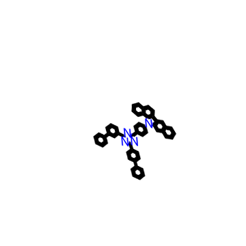 c1ccc(-c2ccc(-c3nc(-c4ccc(-n5c6cc7ccccc7cc6c6ccc7ccccc7c65)cc4)nc(-c4cccc(-c5ccccc5)c4)n3)cc2)cc1